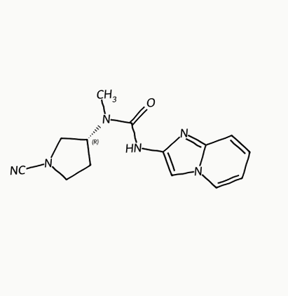 CN(C(=O)Nc1cn2ccccc2n1)[C@@H]1CCN(C#N)C1